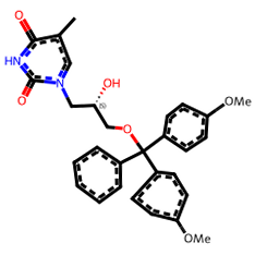 COc1ccc(C(OC[C@@H](O)Cn2cc(C)c(=O)[nH]c2=O)(c2ccccc2)c2ccc(OC)cc2)cc1